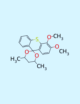 COc1ccc2c(c1OC)Sc1ccccc1C21OC(C)CC(C)O1